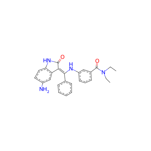 CCN(CC)C(=O)c1cccc(N/C(=C2\C(=O)Nc3ccc(N)cc32)c2ccccc2)c1